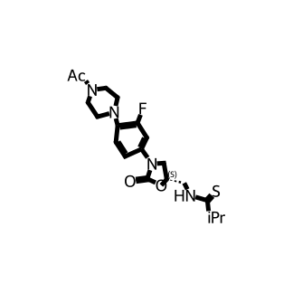 CC(=O)N1CCN(c2ccc(N3C[C@H](CNC(=S)C(C)C)OC3=O)cc2F)CC1